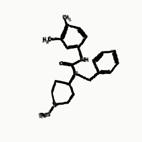 CCCC(C)N1CCC(N(Cc2ccccc2)C(=O)Nc2ccc(C)c(C)c2)CC1